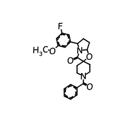 COc1cc(F)cc(C2CCC3OC4(CCN(C(=O)c5ccccc5)CC4)C(=O)N32)c1